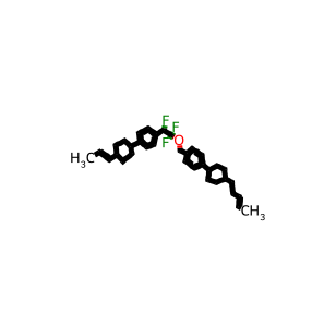 CC=CCCC1CCC(c2ccc(COC(F)(F)C(F)c3ccc(C4CCC(C=CC)CC4)cc3)cc2)CC1